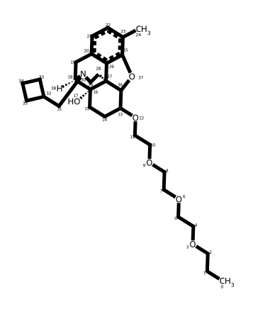 CCCOCCOCCOCCOC1CC[C@@]2(O)[C@H]3Cc4ccc(C)c5c4[C@@]2(CCN3CC2CCC2)C1O5